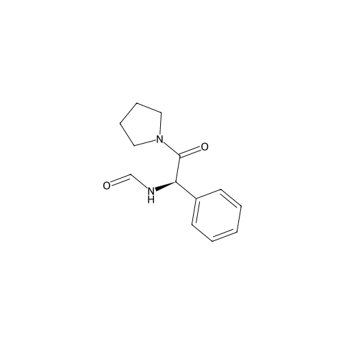 O=CN[C@@H](C(=O)N1CCCC1)c1ccccc1